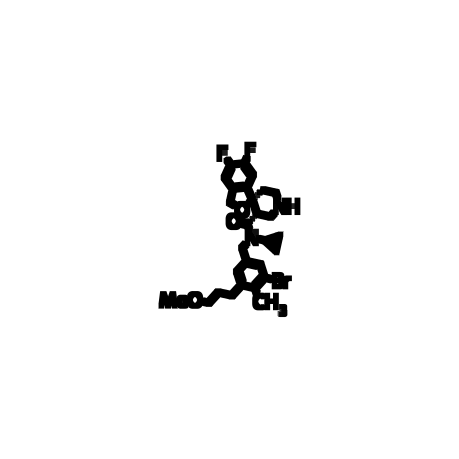 COCCCc1cc(CN(C(=O)[C@H]2CNCC[C@@]23OCc2cc(F)c(F)cc23)C2CC2)cc(Br)c1C